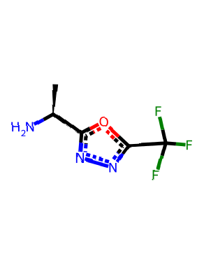 C[C@H](N)c1nnc(C(F)(F)F)o1